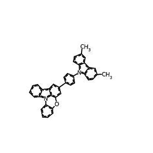 Cc1ccc2c(c1)c1cc(C)ccc1n2-c1ccc(-c2cc3c4c(c2)c2ccccc2n4-c2ccccc2O3)cc1